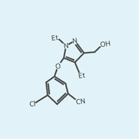 CCc1c(CO)nn(CC)c1Oc1cc(Cl)cc(C#N)c1